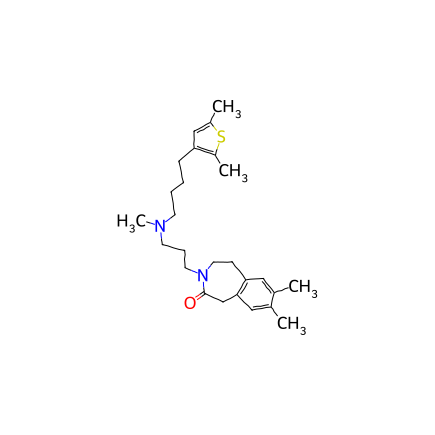 Cc1cc(CCCCN(C)CCCN2CCc3cc(C)c(C)cc3CC2=O)c(C)s1